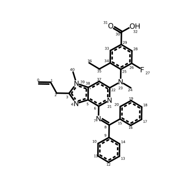 C=CCc1nc2c(N=C(c3ccccc3)c3ccccc3)nc(N(C)c3c(F)cc(C(=O)O)cc3CC)cc2n1C